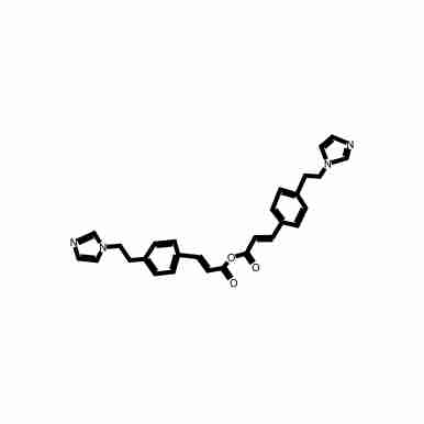 O=C(/C=C/c1ccc(CCn2ccnc2)cc1)OC(=O)/C=C/c1ccc(CCn2ccnc2)cc1